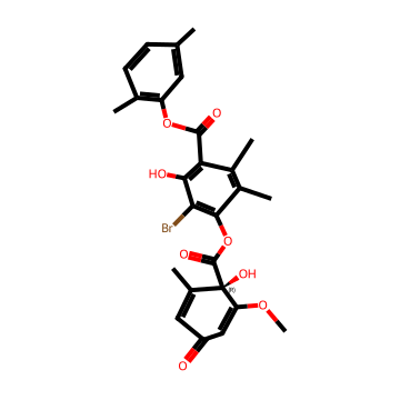 COC1=CC(=O)C=C(C)[C@]1(O)C(=O)Oc1c(C)c(C)c(C(=O)Oc2cc(C)ccc2C)c(O)c1Br